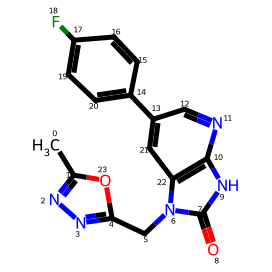 Cc1nnc(Cn2c(=O)[nH]c3ncc(-c4ccc(F)cc4)cc32)o1